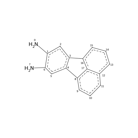 Nc1cc2c(cc1N)-c1cccc3cccc-2c13